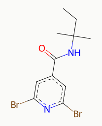 CCC(C)(C)NC(=O)c1cc(Br)nc(Br)c1